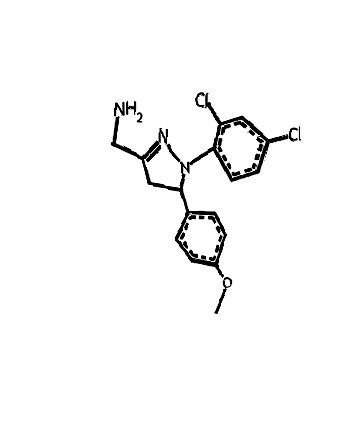 COc1ccc(C2CC(CN)=NN2c2ccc(Cl)cc2Cl)cc1